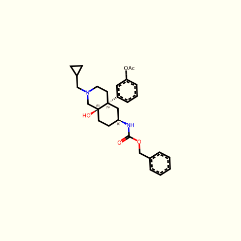 CC(=O)Oc1cccc([C@@]23CCN(CC4CC4)C[C@@]2(O)CC[C@H](NC(=O)OCc2ccccc2)C3)c1